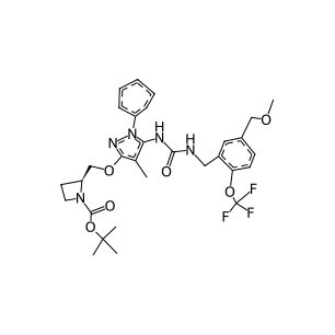 COCc1ccc(OC(F)(F)F)c(CNC(=O)Nc2c(C)c(OC[C@@H]3CCN3C(=O)OC(C)(C)C)nn2-c2ccccc2)c1